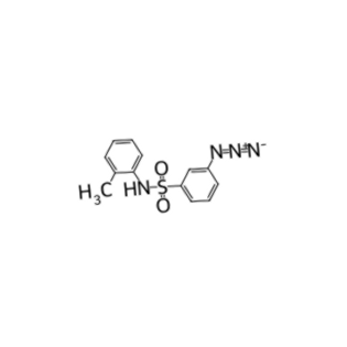 Cc1ccccc1NS(=O)(=O)c1cccc(N=[N+]=[N-])c1